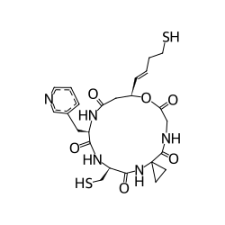 O=C1C[C@@H](/C=C/CCS)OC(=O)CNC(=O)C2(CC2)NC(=O)[C@@H](CS)NC(=O)[C@@H](Cc2cccnc2)N1